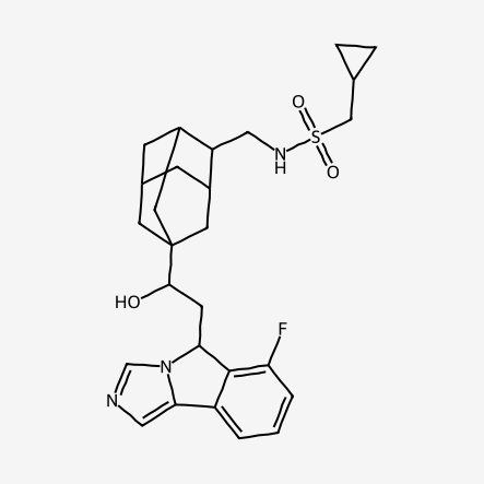 O=S(=O)(CC1CC1)NCC1C2CC3CC1CC(C(O)CC1c4c(F)cccc4-c4cncn41)(C3)C2